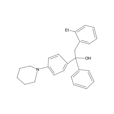 CCc1ccccc1CC(O)(c1ccccc1)c1ccc(N2CCCCC2)cc1